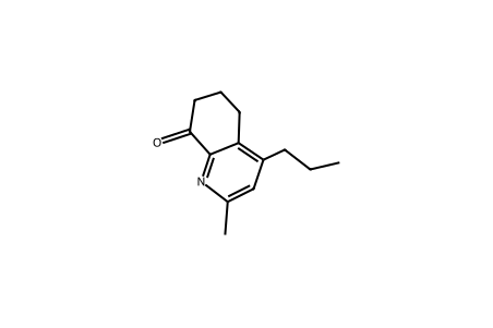 CCCc1cc(C)nc2c1CCCC2=O